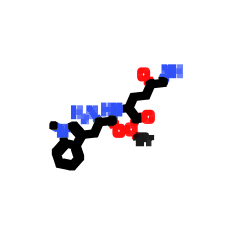 CC(C)OC(=O)C(CCC(=O)C=N)NC(=O)C(N)Cc1cn(C)c2ccccc12